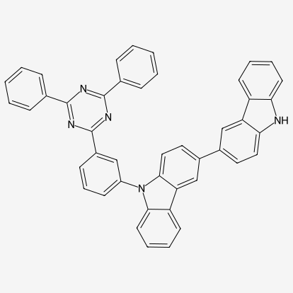 c1ccc(-c2nc(-c3ccccc3)nc(-c3cccc(-n4c5ccccc5c5cc(-c6ccc7[nH]c8ccccc8c7c6)ccc54)c3)n2)cc1